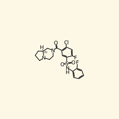 O=C(c1cc(S(=O)(=O)Nc2ccccc2F)c(F)cc1Cl)N1CCN2CCC[C@H]2C1